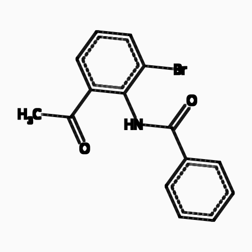 CC(=O)c1cccc(Br)c1NC(=O)c1ccccc1